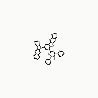 C1=CCC2C(=C1)c1cc3ccccc3cc1N2c1cc(C2=NC(c3ccccc3)NC(c3ccccc3)=N2)c2oc3cc4ccccc4cc3c2c1